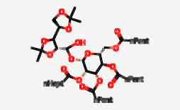 CCCCCCCC(=O)O[C@@H]1[C@H](OC(O)[C@@H]2OC(C)(C)O[C@H]2[C@H]2COC(C)(C)O2)O[C@H](COC(=O)CCCCC)[C@@H](OC(=O)CCCCC)[C@@H]1OC(=O)CCCCC